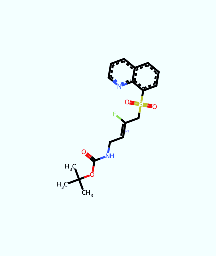 CC(C)(C)OC(=O)NC/C=C(\F)CS(=O)(=O)c1cccc2cccnc12